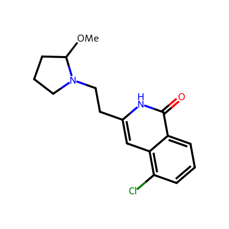 COC1CCCN1CCc1cc2c(Cl)cccc2c(=O)[nH]1